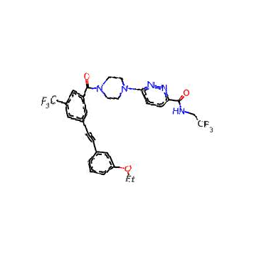 CCOc1cccc(C#Cc2cc(C(=O)N3CCN(c4ccc(C(=O)NCC(F)(F)F)nn4)CC3)cc(C(F)(F)F)c2)c1